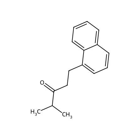 CC(C)C(=O)CCc1cccc2ccccc12